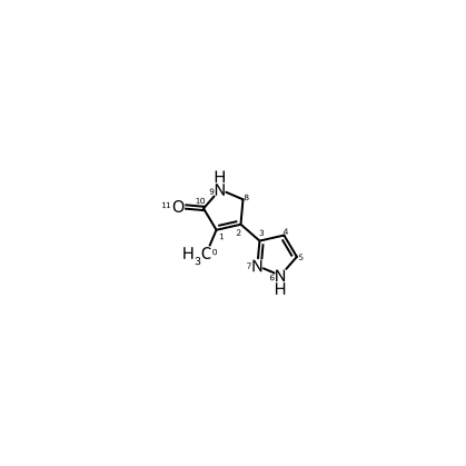 CC1=C(c2cc[nH]n2)CNC1=O